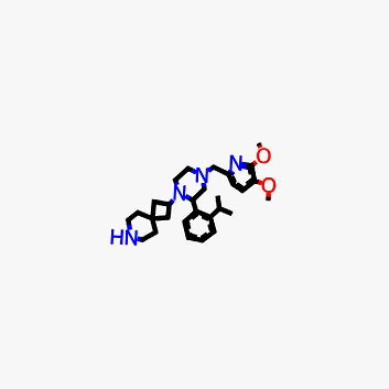 COc1ccc(CN2CCN(C3CC4(CCNCC4)C3)C(c3ccccc3C(C)C)C2)nc1OC